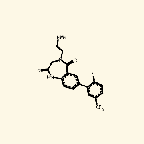 CNCCN1CC(=O)Nc2ccc(-c3cc(C(F)(F)F)ccc3F)cc2C1=O